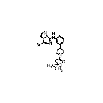 CC(C)(C)OC(=O)N1CCC(c2cccc(Nc3ncc(Br)n4ccnc34)c2)CC1